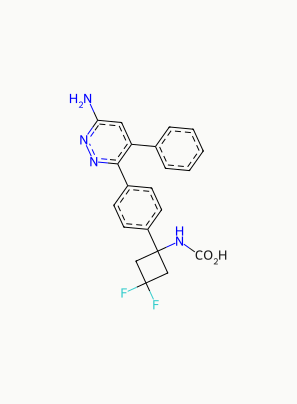 Nc1cc(-c2ccccc2)c(-c2ccc(C3(NC(=O)O)CC(F)(F)C3)cc2)nn1